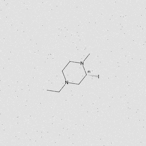 CCN1CCN(C)[C@H](I)C1